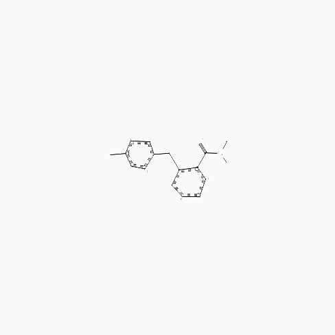 CCN(CC)C(=O)c1ccccc1Cc1ccc(F)cc1